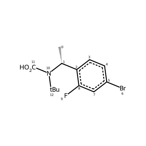 C[C@H](c1ccc(Br)cc1F)N(C(=O)O)C(C)(C)C